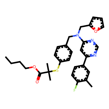 CCCCOC(=O)C(C)(C)Sc1ccc(CN(Cc2ccco2)c2cc(-c3ccc(F)c(C)c3)ncn2)cc1